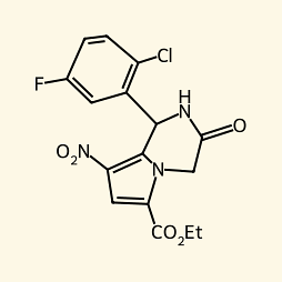 CCOC(=O)c1cc([N+](=O)[O-])c2n1CC(=O)NC2c1cc(F)ccc1Cl